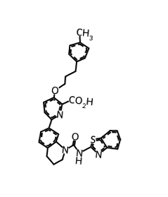 Cc1ccc(CCCOc2ccc(-c3ccc4c(c3)N(C(=O)Nc3nc5ccccc5s3)CCC4)nc2C(=O)O)cc1